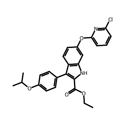 CCOC(=O)c1[nH]c2cc(Oc3cccc(Cl)n3)ccc2c1-c1ccc(OC(C)C)cc1